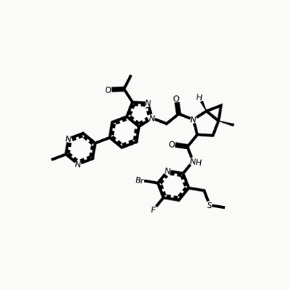 CSCc1cc(F)c(Br)nc1NC(=O)C1C[C@@]2(C)C[C@H]2N1C(=O)Cn1nc(C(C)=O)c2cc(-c3cnc(C)nc3)ccc21